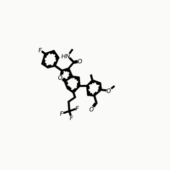 CNC(=O)c1c(-c2ccc(F)cc2)oc2cc(CCC(F)(F)F)c(-c3cc(C=O)c(OC)cc3C)cc12